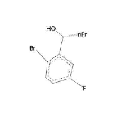 CCC[C@@H](O)c1cc(F)ccc1Br